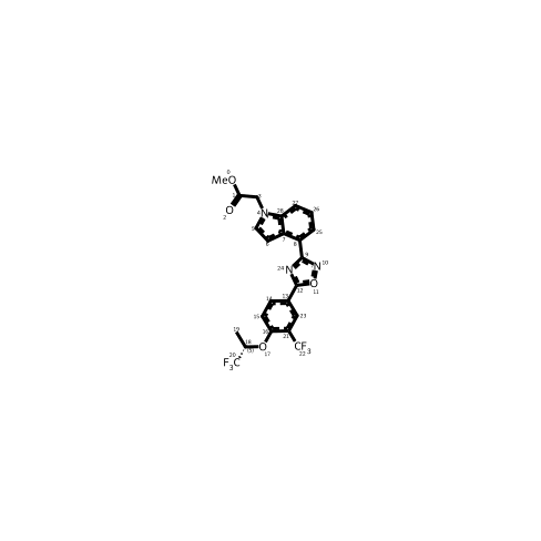 COC(=O)Cn1ccc2c(-c3noc(-c4ccc(O[C@@H](C)C(F)(F)F)c(C(F)(F)F)c4)n3)cccc21